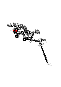 CCCCCCCCCCCCCCCCNC(=O)CN(CC(N)=O)C(=O)CCCCCNC(=O)C(Cc1c[nH]c2ccccc12)NC(=O)C(CCCNC(=N)N)NC(=O)C(CS)NC(=O)C(CCCNC(=N)N)NC(=O)C1CCCN(C(=O)C(NC(=O)C(Cc2c[nH]cn2)NC(=O)C(NC(=O)CNCC(=O)O)C(C)O)C(c2ccccc2)c2ccccc2)C1